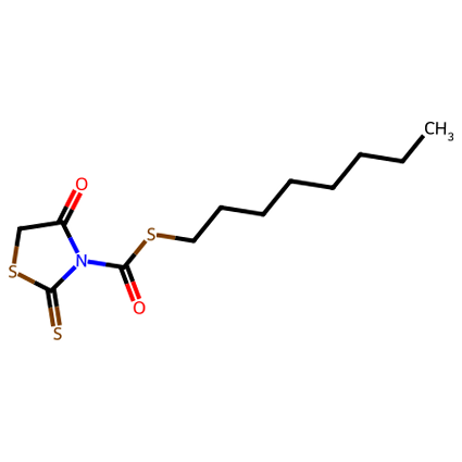 CCCCCCCCSC(=O)N1C(=O)CSC1=S